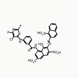 O=C(Nc1cc(S(=O)(=O)O)cc2cc(S(=O)(=O)O)c(/N=N/c3ccc4ccccc4c3S(=O)(=O)O)c(O)c12)c1cccc(Nc2nc(F)nc(F)c2Cl)c1